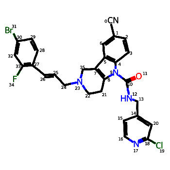 N#Cc1ccc2c(c1)c1c(n2C(=O)NCc2ccnc(Cl)c2)CCN(CC=Cc2ccc(Br)cc2F)C1